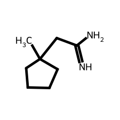 CC1(CC(=N)N)CCCC1